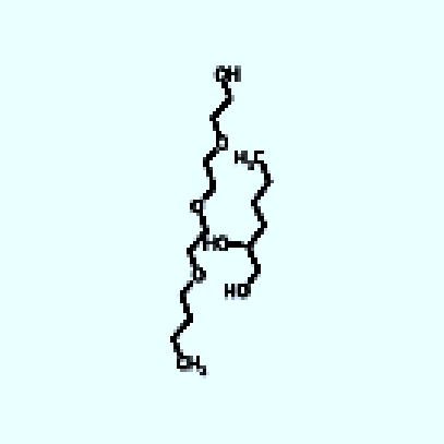 CCCCC(O)CO.CCCCOCCOCCOCCO